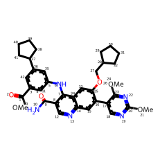 COC(=O)c1cc(Nc2c(C(N)=O)cnc3cc(-c4cnc(OC)nc4OC)c(OCC4CCCC4)cc23)cc(C2CCCC2)c1